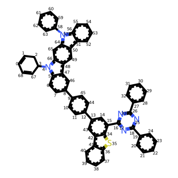 C1=CCC(n2c3ccc(-c4ccc(-c5cc(-c6nc(-c7ccccc7)nc(-c7ccccc7)n6)c6sc7ccccc7c6c5)cc4)cc3c3cc4c5ccccc5n(-c5ccccc5)c4cc32)C=C1